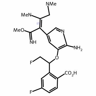 CNC/C(NC)=C(/C(=N)OC)c1cnc(N)c(OC(CF)c2cc(F)ccc2C(=O)O)c1